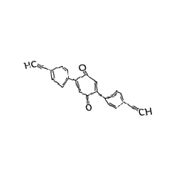 C#Cc1ccc(C2=CC(=O)C(c3ccc(C#C)cc3)=CC2=O)cc1